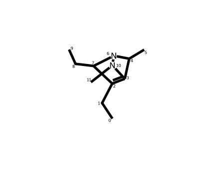 CCC1=C2C(C)N(C1CC)N2C